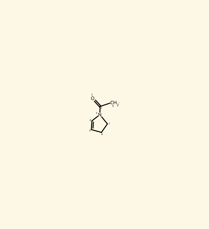 [CH2]C(=O)N1C=CCC1